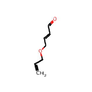 C=CCOCC=CC=O